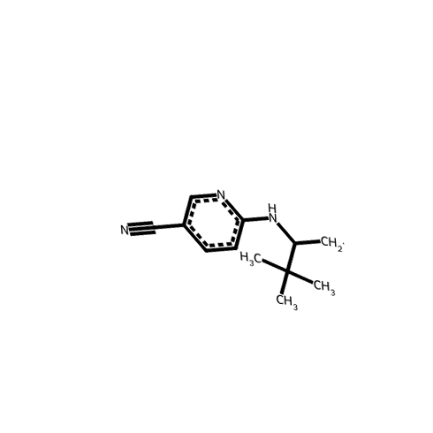 [CH2]C(Nc1ccc(C#N)cn1)C(C)(C)C